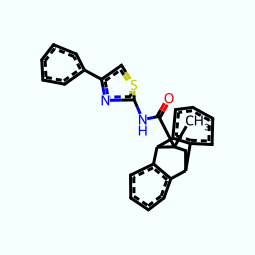 CC1(C(=O)Nc2nc(-c3ccccc3)cs2)CC2c3ccccc3C1c1ccccc12